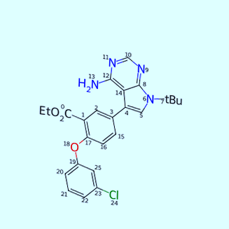 CCOC(=O)c1cc(-c2cn(C(C)(C)C)c3ncnc(N)c23)ccc1Oc1cccc(Cl)c1